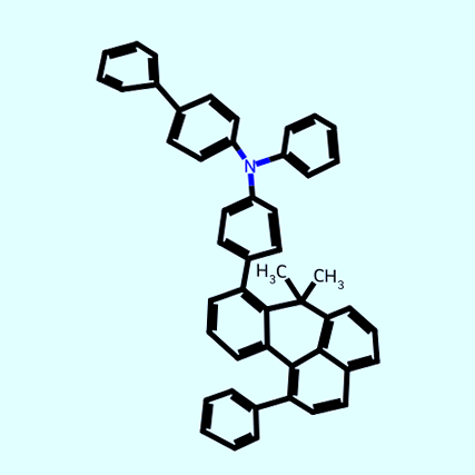 CC1(C)c2c(-c3ccc(N(c4ccccc4)c4ccc(-c5ccccc5)cc4)cc3)cccc2-c2c(-c3ccccc3)ccc3cccc1c23